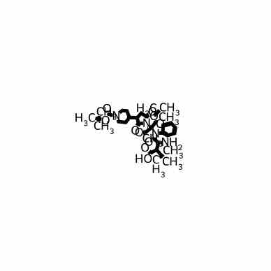 CC(=O)[C@](C(=O)OC(C)(C)C)(N1C(=O)CC(C2CCN(C(=O)OC(C)(C)C)CC2)C1=O)N(C(=O)[C@@H](N)C(C(=O)O)C(C)(C)C)c1ccccc1